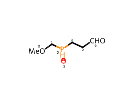 COC[PH](=O)CCC=O